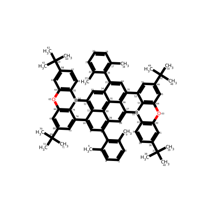 Cc1cccc(C)c1-c1cc2c3c(cc4c(-c5c(C)cccc5C)cc5c6c(cc1c3c46)B1c3ccc(C(C)(C)C)cc3Oc3cc(C(C)(C)C)cc-5c31)B1c3ccc(C(C)(C)C)cc3Oc3cc(C(C)(C)C)cc-2c31